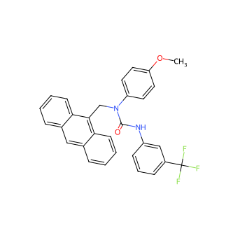 COc1ccc(N(Cc2c3ccccc3cc3ccccc23)C(=O)Nc2cccc(C(F)(F)F)c2)cc1